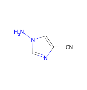 N#Cc1cn(N)cn1